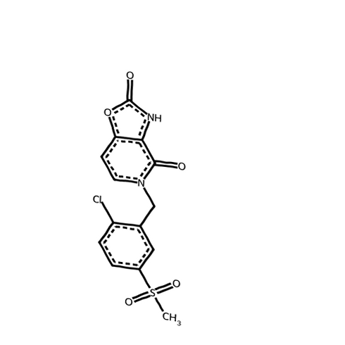 CS(=O)(=O)c1ccc(Cl)c(Cn2ccc3oc(=O)[nH]c3c2=O)c1